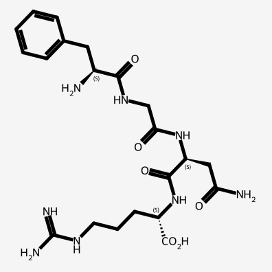 N=C(N)NCCC[C@H](NC(=O)[C@H](CC(N)=O)NC(=O)CNC(=O)[C@@H](N)Cc1ccccc1)C(=O)O